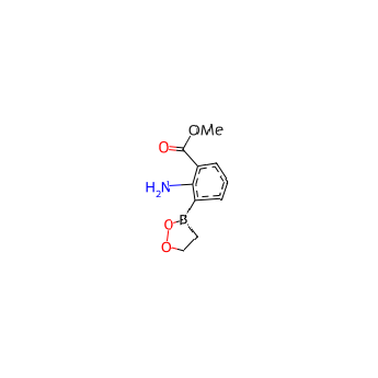 COC(=O)c1cccc(B2CCOO2)c1N